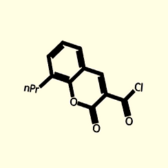 CCCc1cccc2cc(C(=O)Cl)c(=O)oc12